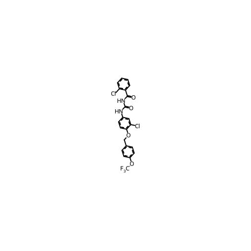 O=C(NC(=O)c1ccccc1Cl)Nc1ccc(OCc2ccc(OC(F)(F)F)cc2)c(Cl)c1